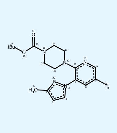 Cc1ccn(-c2cc(Br)cnc2N2CCN(C(=O)OC(C)(C)C)CC2)n1